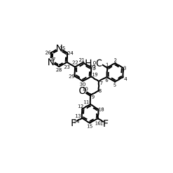 Cc1ccccc1C(CC(=O)c1cc(F)cc(F)c1)c1ccc(-c2cncnc2)cc1